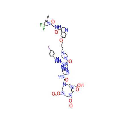 C#C[C@H]1CC(F)(F)CN1C(=O)CNC(=O)c1ccnc2ccc(OCCCCN3CCN(C(=O)CCN/N=C\C(C/C=N/NCN/N=C/c4ccc(I)cc4)NC(=O)CN4CCN(COC=O)CCN(COC=O)CCN(CC(=O)O)CC4)CC3)cc12